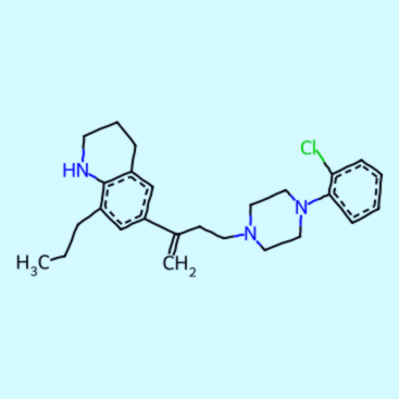 C=C(CCN1CCN(c2ccccc2Cl)CC1)c1cc(CCC)c2c(c1)CCCN2